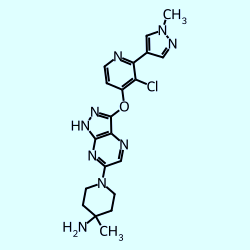 Cn1cc(-c2nccc(Oc3n[nH]c4nc(N5CCC(C)(N)CC5)cnc34)c2Cl)cn1